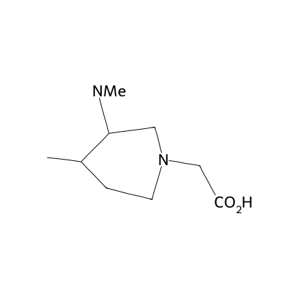 CNC1CN(CC(=O)O)CCC1C